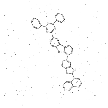 c1ccc(-c2nc(-c3ccccc3)nc(-c3ccc4oc5c(-c6ccc7oc(-c8cccc9ccccc89)nc7c6)cccc5c4c3)n2)cc1